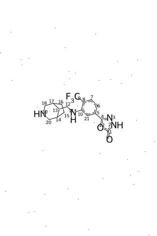 O=c1[nH]nc(-c2ccc(C(F)(F)F)c(NCC3C4CCC3CNC4)c2)o1